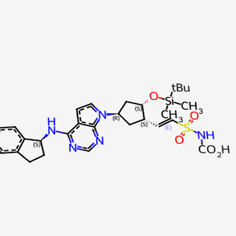 CC(C)(C)[Si](C)(C)O[C@H]1C[C@H](n2ccc3c(N[C@H]4CCc5ccccc54)ncnc32)C[C@H]1/C=C/S(=O)(=O)NC(=O)O